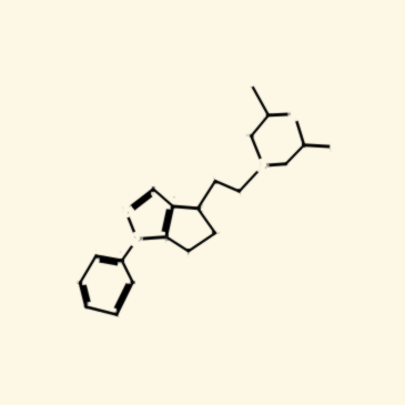 CC1CN(CCC2CCc3c2cnn3-c2ccccc2)CC(C)O1